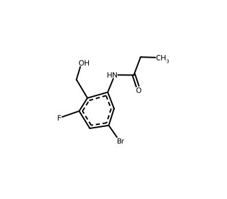 CCC(=O)Nc1cc(Br)cc(F)c1CO